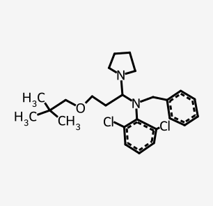 CC(C)(C)COCCC(N1CCCC1)N(Cc1ccccc1)c1c(Cl)cccc1Cl